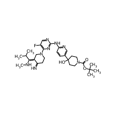 CN/C(=C1/CN(c2nc(Nc3ccc(C4(O)CCN(C(=O)OC(C)(C)C)CC4)cn3)ncc2F)CCC1=N)C(C)C